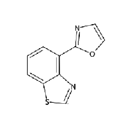 [c]1nc2c(-c3ncco3)cccc2s1